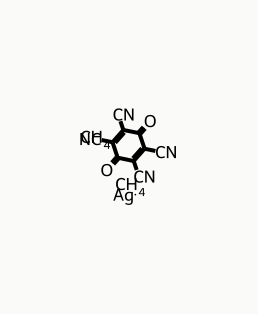 C.C.N#CC1=C(C#N)C(=O)C(C#N)=C(C#N)C1=O.[Ag]